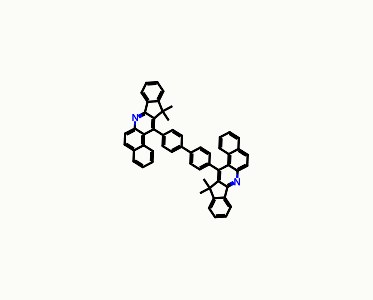 CC1(C)c2ccccc2-c2nc3ccc4ccccc4c3c(-c3ccc(-c4ccc(-c5c6c(nc7ccc8ccccc8c57)-c5ccccc5C6(C)C)cc4)cc3)c21